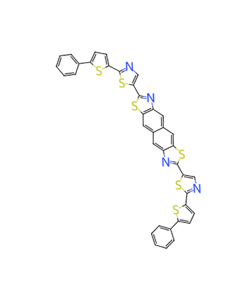 c1ccc(-c2ccc(-c3ncc(-c4nc5cc6cc7sc(-c8cnc(-c9ccc(-c%10ccccc%10)s9)s8)nc7cc6cc5s4)s3)s2)cc1